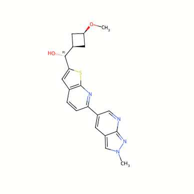 CO[C@H]1C[C@@H]([C@@H](O)c2cc3ccc(-c4cnc5nn(C)cc5c4)nc3s2)C1